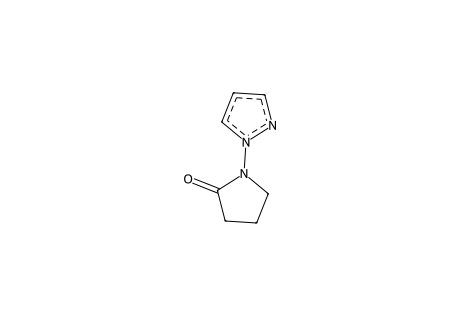 O=C1CCCN1n1cccn1